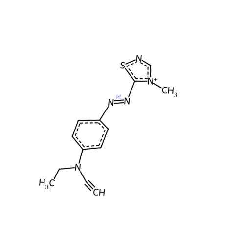 C#CN(CC)c1ccc(/N=N/c2snc[n+]2C)cc1